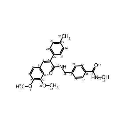 COc1ccc(C=C(C(=O)NCc2ccc(C(=O)NO)cc2)c2ccc(C)cc2)cc1OC